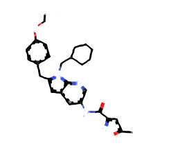 CCOc1ccc(Cc2cc3cc(N(C)C(=O)c4cc(C)on4)cnc3n2CC2CCCCC2)cc1